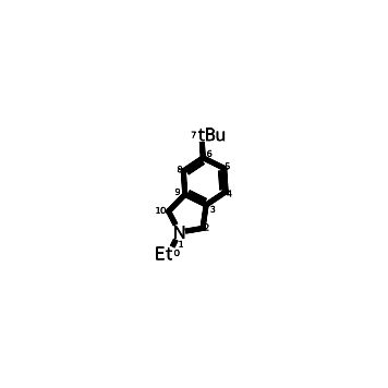 CCN1Cc2ccc(C(C)(C)C)cc2C1